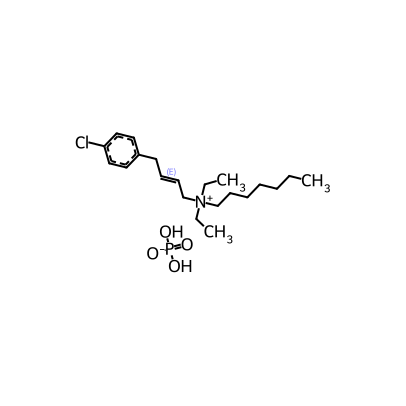 CCCCCCC[N+](CC)(CC)C/C=C/Cc1ccc(Cl)cc1.O=P([O-])(O)O